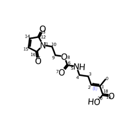 C/C(=C\CCNC(=O)OCCN1C(=O)C=CC1=O)C(=O)O